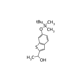 CC(O)c1cc2ccc(O[Si](C)(C)C(C)(C)C)cc2s1